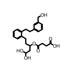 O=C(O)CCC(=O)OC(CCc1ccccc1CCc1cccc(CO)c1)CC(O)O